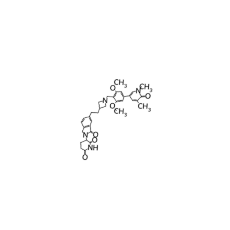 COc1cc(-c2cc(C)c(=O)n(C)c2)cc(OC)c1CN1CC(CCc2ccc3c(c2)C(=O)N(C2CCC(=O)NC2=O)C3)C1